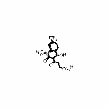 Cn1c(=O)c(C(=O)CCC(=O)O)c(O)c2ccc(C(F)(F)F)cc21